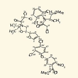 CC1(C)OC(c2ccco2)CN1C(=O)C(Cl)Cl.CCc1cccc(C)c1N(C(=O)CCl)C(C)COC.COC(=O)c1cc(Oc2ccc(Cl)cc2Cl)ccc1[N+](=O)[O-]